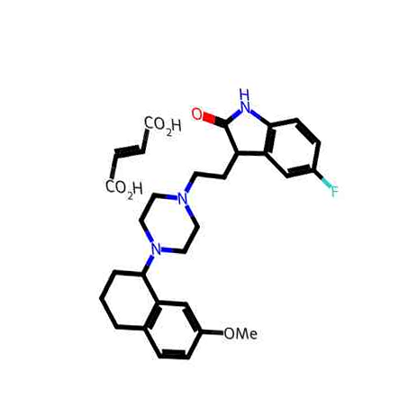 COc1ccc2c(c1)C(N1CCN(CCC3C(=O)Nc4ccc(F)cc43)CC1)CCC2.O=C(O)C=CC(=O)O